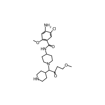 COCCC(=O)C(C1CCNCC1)N1CCC(NC(=O)c2cc(Cl)c(N)cc2OC)CC1